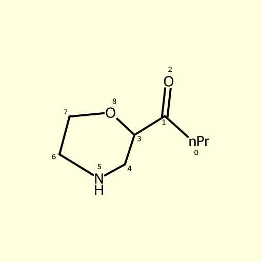 [CH2]CCC(=O)C1CNCCO1